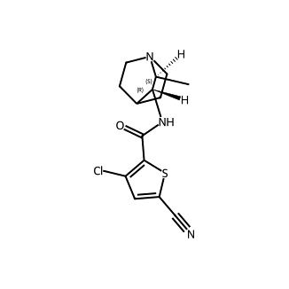 C[C@H]1[C@H](NC(=O)c2sc(C#N)cc2Cl)C2CCN1CC2